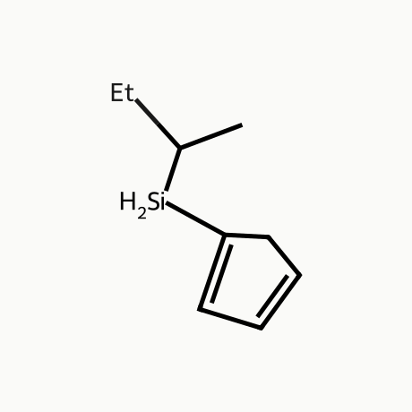 CCC(C)[SiH2]C1=CC=CC1